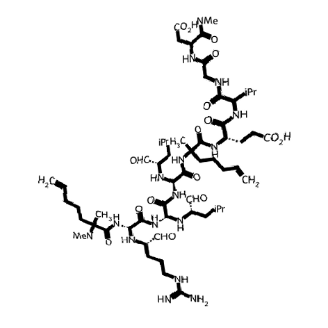 C=CCCCC(C)(NC)C(=O)N[C@@H](N[C@H](C=O)CCCNC(=N)N)C(=O)N[C@@H](N[C@H](C=O)CC(C)C)C(=O)N[C@@H](N[C@H](C=O)CC(C)C)C(=O)NC(C)(CCCC=C)C(=O)N[C@@H](CCC(=O)O)C(=O)NC(C(=O)NCC(=O)NC(CC(=O)O)C(=O)NC)C(C)C